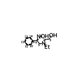 CCN(CCO)C/C(=N\O)c1ccccc1